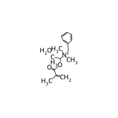 C=C(C)C(=O)OC(C)[N+](C)(C)Cc1ccccc1.O